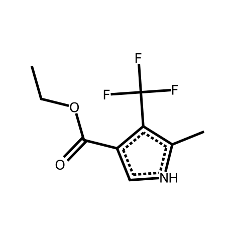 CCOC(=O)c1c[nH]c(C)c1C(F)(F)F